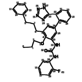 CCCOc1c(CCCc2ccccc2)cc(-c2ccccc2-c2nnn[nH]2)cc1NC(=O)Nc1ccccc1F